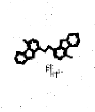 Cc1ccc(CCc2ccc(C)c3c2Cc2ccccc2-3)c2c1-c1ccccc1C2.[Cl-].[Cl-].[Hf+2]